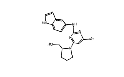 CCCc1cc(N2CCCC2CO)nc(Nc2ccc3[nH]ccc3c2)n1